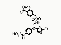 CCc1nc([C@H](CNS(=O)(=O)Cc2ccc(C(=O)OC)cc2)c2ccc(NS(=O)(=O)O)cc2)cs1